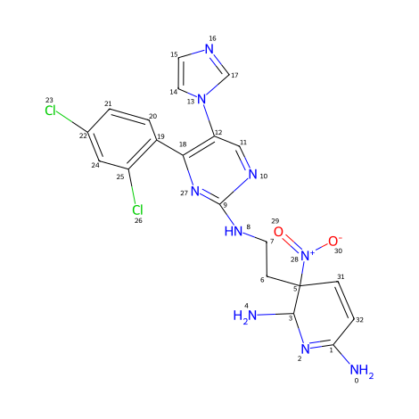 NC1=NC(N)C(CCNc2ncc(-n3ccnc3)c(-c3ccc(Cl)cc3Cl)n2)([N+](=O)[O-])C=C1